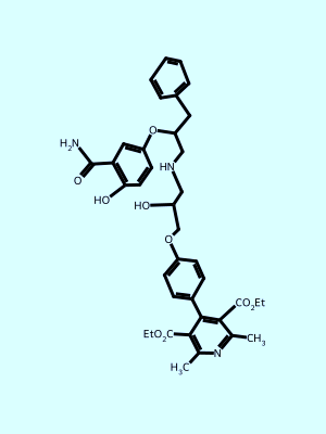 CCOC(=O)c1c(C)nc(C)c(C(=O)OCC)c1-c1ccc(OCC(O)CNCC(Cc2ccccc2)Oc2ccc(O)c(C(N)=O)c2)cc1